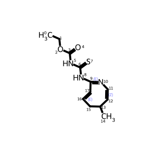 CCOC(=O)NC(=S)NC1=N/C=C\C(C)C\C=C\1